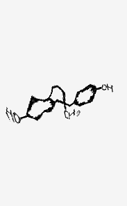 CC1(c2ccc(O)cc2)CCc2cc(O)ccc21